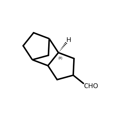 O=CC1CC2C3CCC(C3)[C@H]2C1